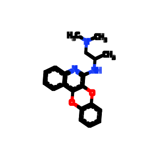 CC(CN(C)C)Nc1nc2ccccc2c2c1Oc1ccccc1O2